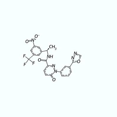 C[C@@H](NC(=O)c1ccc(=O)n(-c2cccc(-c3nnco3)c2)n1)c1cc([N+](=O)[O-])cc(C(F)(F)F)c1